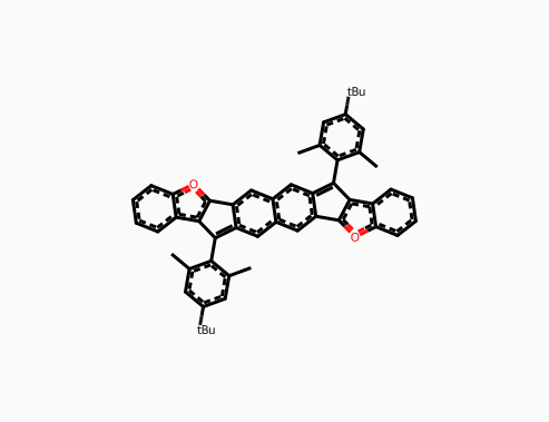 Cc1cc(C(C)(C)C)cc(C)c1C1=c2cc3cc4c(cc3cc2-c2oc3ccccc3c21)=C(c1c(C)cc(C(C)(C)C)cc1C)c1c-4oc2ccccc12